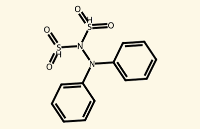 O=[SH](=O)N(N(c1ccccc1)c1ccccc1)[SH](=O)=O